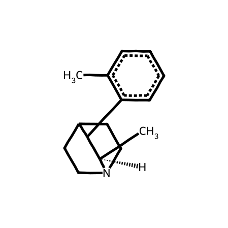 Cc1ccccc1C1C2CCN(CC2)[C@@H]1C